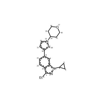 CCc1nn(C2CC2)c2cc(-c3ccn(C4CCOCC4)n3)ccc12